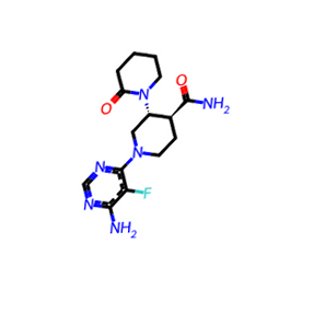 NC(=O)[C@H]1CCN(c2ncnc(N)c2F)C[C@@H]1N1CCCCC1=O